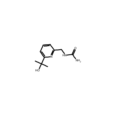 CC(C)(O)c1cccc(CNC(N)=O)n1